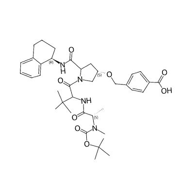 C[C@@H](C(=O)NC(C(=O)N1C[C@@H](OCc2ccc(C(=O)O)cc2)CC1C(=O)N[C@@H]1CCCc2ccccc21)C(C)(C)C)N(C)C(=O)OC(C)(C)C